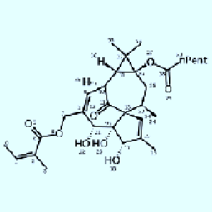 C/C=C(/C)C(=O)OCC1=C[C@@H]2C(=O)[C@]3(C=C(C)[C@H](O)[C@@]3(O)[C@@H]1O)[C@H](C)C[C@]1(OC(=O)CCCCC)[C@H]2C1(C)C